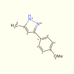 COc1ccc(-c2cc(C)[nH]n2)cc1